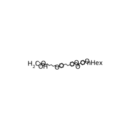 C=CC(O)OCCCCCCOc1ccc(CCc2ccc(OC(=O)c3ccc(OCCCCCC)cc3)cc2)cc1